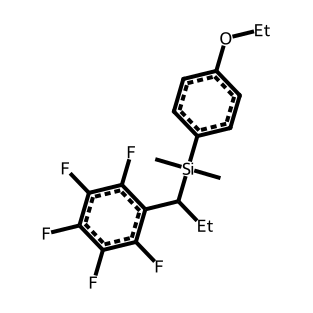 CCOc1ccc([Si](C)(C)C(CC)c2c(F)c(F)c(F)c(F)c2F)cc1